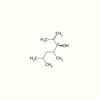 C=C(C)[C@@H](O)C(C)CC(C)C